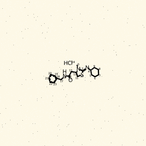 CN1/C(=N/C2CCCCC2)SCC1CC(=O)NCc1ccccc1.Cl